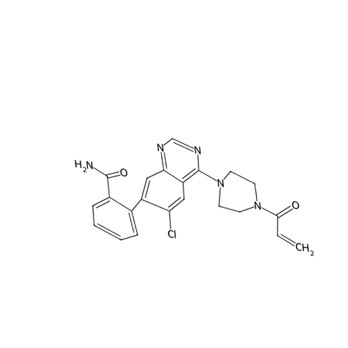 C=CC(=O)N1CCN(c2ncnc3cc(-c4ccccc4C(N)=O)c(Cl)cc23)CC1